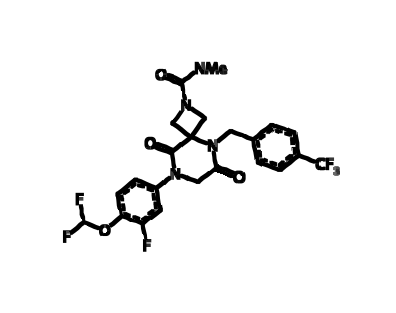 CNC(=O)N1CC2(C1)C(=O)N(c1ccc(OC(F)F)c(F)c1)CC(=O)N2Cc1ccc(C(F)(F)F)cc1